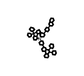 c1ccc(-c2c(-c3ccccc3)c3cc(-c4ccc(N(c5ccc(-c6ccc(-c7ccc8ccccc8c7)cc6)cc5)c5cccc6c5-c5ccccc5C6(c5ccccc5)c5ccccc5)cc4)ccc3c3ccccc23)cc1